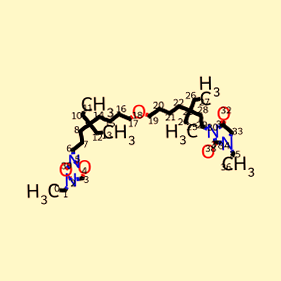 CCN1CON(CCCC(CC)(CC)CCCCOCCCCC(CC)(CC)CCN2C(=O)CN(CC)C2=O)O1